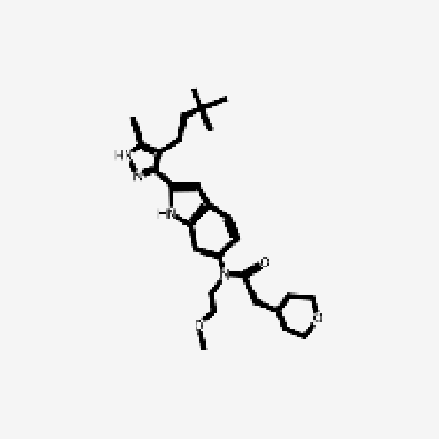 COCCN(C(=O)CC1CCOCC1)C1C=Cc2cc(-c3n[nH]c(C)c3CCC(C)(C)C)[nH]c2C1